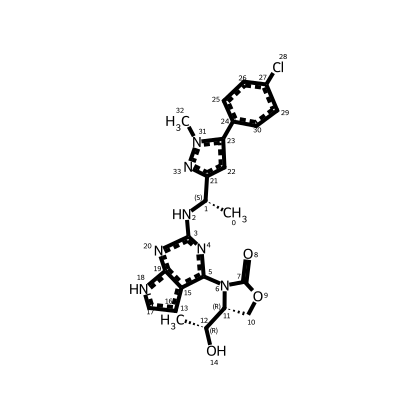 C[C@H](Nc1nc(N2C(=O)OC[C@@H]2[C@@H](C)O)c2cc[nH]c2n1)c1cc(-c2ccc(Cl)cc2)n(C)n1